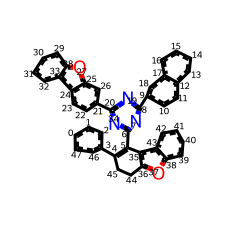 c1ccc(C2=C(c3nc(-c4ccc5ccccc5c4)nc(-c4ccc5c(c4)oc4ccccc45)n3)c3c(oc4ccccc34)CC2)cc1